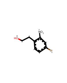 O=[N+]([O-])c1cc(Br)ccc1CCO